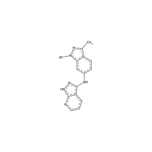 Cc1nn(C(C)C)c2cc(Nc3n[nH]c4ncccc34)ccc12